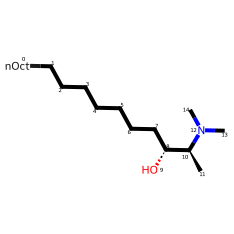 CCCCCCCCCCCCCCC[C@@H](O)[C@H](C)N(C)C